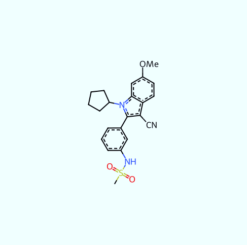 COc1ccc2c(C#N)c(-c3cccc(NS(C)(=O)=O)c3)n(C3CCCC3)c2c1